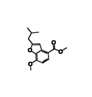 COC(=O)c1ccc(OC)c2oc(CC(C)C)cc12